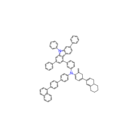 C=C1CC(C2=CCC3CCCCC3=C2)=CC=C1N(c1ccc(-c2ccc(-c3cccc4ccccc34)cc2)cc1)c1cccc(-c2cc(-c3ccccc3)cc3c2c2ccc(-c4ccccc4)cc2n3-c2ccccc2)c1